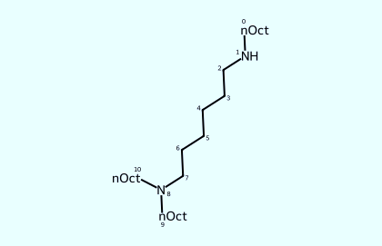 CCCCCCCCNCCCCCCN(CCCCCCCC)CCCCCCCC